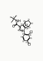 CC(C)(C)NC(=O)c1nn(-c2ccc(Cl)cc2Cl)c2c1C1CCC2C1